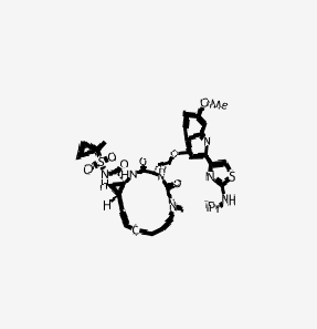 COc1ccc2c(OCC[C@@H]3NC(=O)N(C)CCCC/C=C\[C@@H]4C[C@@]4(C(=O)NS(=O)(=O)C4(C)CC4)NC3=O)cc(-c3csc(NC(C)C)n3)nc2c1